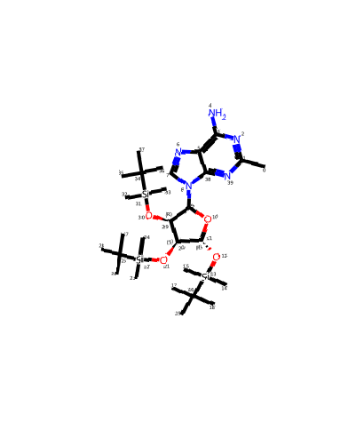 Cc1nc(N)c2ncn(C3O[C@H](O[Si](C)(C)C(C)(C)C)[C@@H](O[Si](C)(C)C(C)(C)C)[C@H]3O[Si](C)(C)C(C)(C)C)c2n1